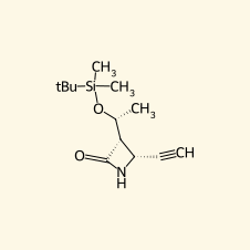 C#C[C@@H]1NC(=O)[C@@H]1[C@@H](C)O[Si](C)(C)C(C)(C)C